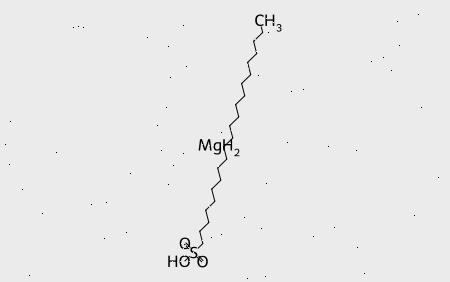 CCCCCCCCCCCCCCCCCCCCCCS(=O)(=O)O.[MgH2]